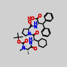 C[C@@H](C(=O)N[C@H](C(=O)N1CCC[C@H]1C(=O)N[C@H](C(=O)O)C(c1ccccc1)c1ccccc1)C1CCCCC1)N(C)C(=O)OC(C)(C)C